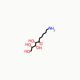 NCCCCCC(=O)[C@H](O)[C@H](O)[C@H](O)CO